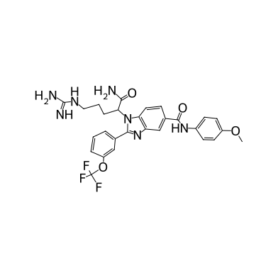 COc1ccc(NC(=O)c2ccc3c(c2)nc(-c2cccc(OC(F)(F)F)c2)n3C(CCCNC(=N)N)C(N)=O)cc1